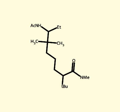 CCC(NC(C)=O)C(C)(C)CCCC(C(=O)NC)C(C)(C)C